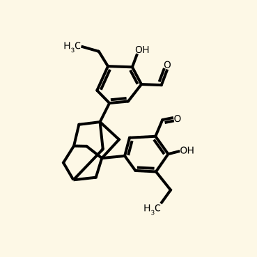 CCc1cc(C23CC4CC(C2)CC(c2cc(C=O)c(O)c(CC)c2)(C4)C3)cc(C=O)c1O